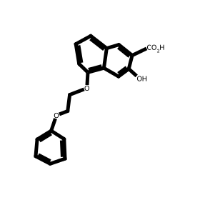 O=C(O)c1cc2cccc(OCCOc3ccccc3)c2cc1O